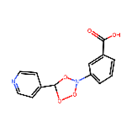 O=C(O)c1cccc(N2OOC(c3ccncc3)O2)c1